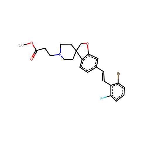 CC(C)(C)OC(=O)CCN1CCC2(CC1)COc1cc(/C=C/c3c(F)cccc3Br)ccc12